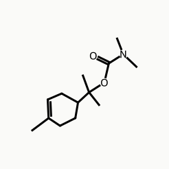 CC1=CCC(C(C)(C)OC(=O)N(C)C)CC1